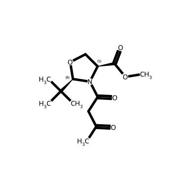 COC(=O)[C@@H]1CO[C@H](C(C)(C)C)N1C(=O)CC(C)=O